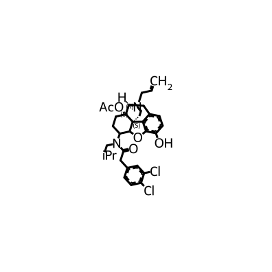 C=CCN1CC[C@]23c4c5ccc(O)c4OC2C(N(CC(C)C)C(=O)Cc2ccc(Cl)c(Cl)c2)CC[C@@]3(OC(C)=O)[C@H]1C5